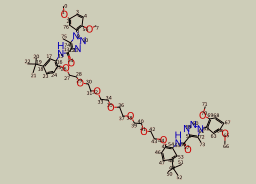 COc1ccc(OC)c(-n2nnc(C(=O)Nc3cc(C(C)(C)C)ccc3OCCOCCOCCOCCOCCOCCOc3ccc(C(C)(C)C)cc3NC(=O)c3nnn(-c4cc(OC)ccc4OC)c3C)c2C)c1